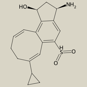 N[C@@H]1C[C@H](O)c2c1cc([SH](=O)=O)c1c2/C=C\CC/C(C2CC2)=C\1